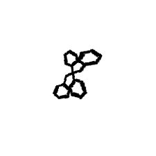 c1ccc(CC(Cc2ccccc2)(c2ccccc2)c2ccccc2)cc1